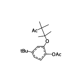 CC(=O)Oc1ccc(C(C)(C)C)cc1OC(C)(C)C(C)(C)C(C)=O